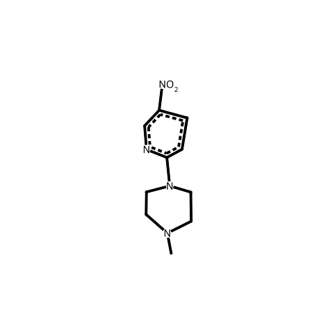 CN1CCN(c2ccc([N+](=O)[O-])cn2)CC1